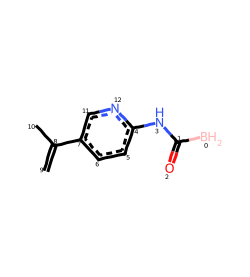 BC(=O)Nc1ccc(C(=C)C)cn1